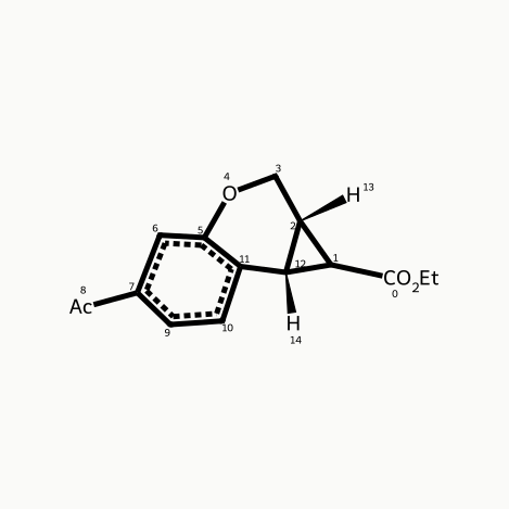 CCOC(=O)C1[C@H]2COc3cc(C(C)=O)ccc3[C@@H]12